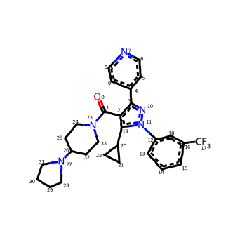 O=C(c1c(-c2ccncc2)nn(-c2cccc(C(F)(F)F)c2)c1C1CC1)N1CCC(N2CCCC2)CC1